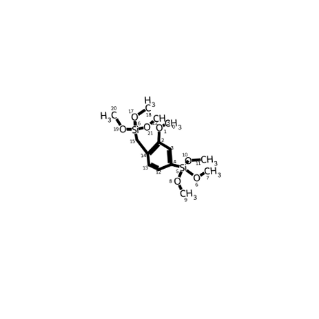 COc1cc([Si](OC)(OC)OC)ccc1C[Si](OC)(OC)OC